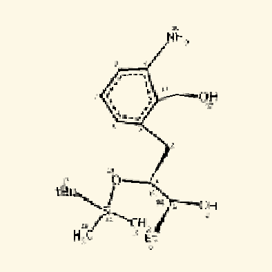 CC[C@H](O)[C@H](Cc1cccc(N)c1O)O[Si](C)(C)C(C)(C)C